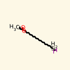 CC=CC(=O)OCCCCCCCCCCCCCCCCCC[SiH2]C(I)I